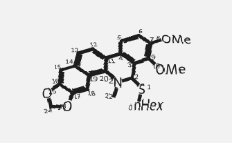 CCCCCCSC1c2c(ccc(OC)c2OC)-c2ccc3cc4c(cc3c2N1C)OCO4